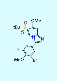 COc1cc2ncc(-c3cc(F)c(OC)c(Br)c3)n2cc1S(=O)(=O)C(C)(C)C